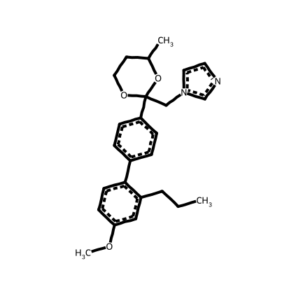 CCCc1cc(OC)ccc1-c1ccc(C2(Cn3ccnc3)OCCC(C)O2)cc1